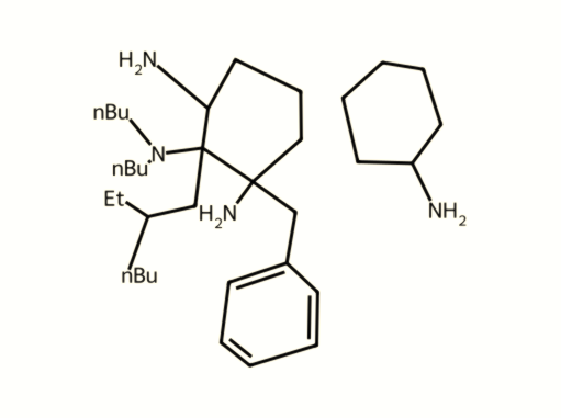 CCCCC(CC)CC1(N(CCCC)CCCC)C(N)CCCC1(N)Cc1ccccc1.NC1CCCCC1